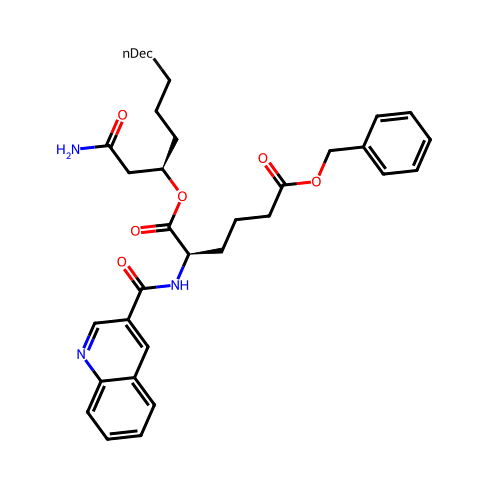 CCCCCCCCCCCCC[C@H](CC(N)=O)OC(=O)[C@@H](CCCC(=O)OCc1ccccc1)NC(=O)c1cnc2ccccc2c1